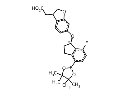 CC1(C)OB(c2ccc(F)c3c2CC[C@H]3Oc2ccc3c(c2)OCC3CC(=O)O)OC1(C)C